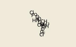 CC1C[C@H](NC(=O)COc2ccc(Cl)c(F)c2)CC(C)[C@H]1NCC(O)COc1ccc(Cl)c(F)c1